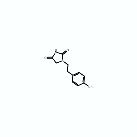 O=C1CN(CCc2ccc(O)cc2)C(=O)N1